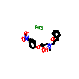 CN(Cc1cc2ccccc2o1)CC(O)COc1ccc([N+](=O)[O-])cc1.Cl